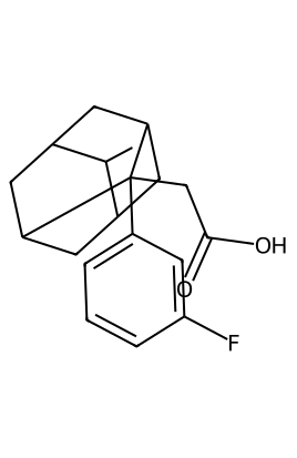 CC1C2CC3CC1CC(C2)C3(CC(=O)O)c1cccc(F)c1